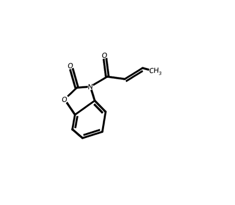 CC=CC(=O)n1c(=O)oc2ccccc21